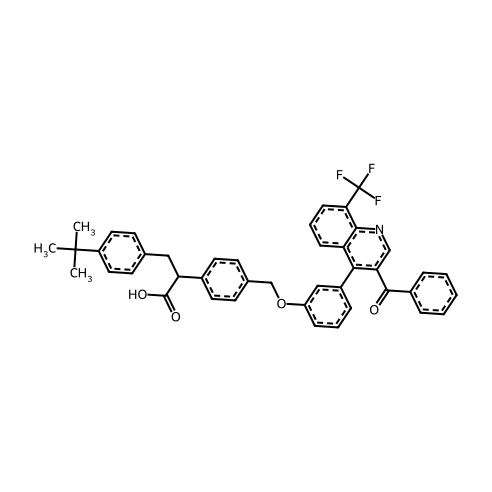 CC(C)(C)c1ccc(CC(C(=O)O)c2ccc(COc3cccc(-c4c(C(=O)c5ccccc5)cnc5c(C(F)(F)F)cccc45)c3)cc2)cc1